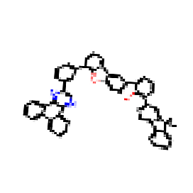 CC1(C)c2ccccc2-c2ccc(-c3cccc4c3oc3cc5oc6c(-c7cccc(-c8cnc9c%10ccccc%10c%10ccccc%10c9n8)c7)cccc6c5cc34)cc21